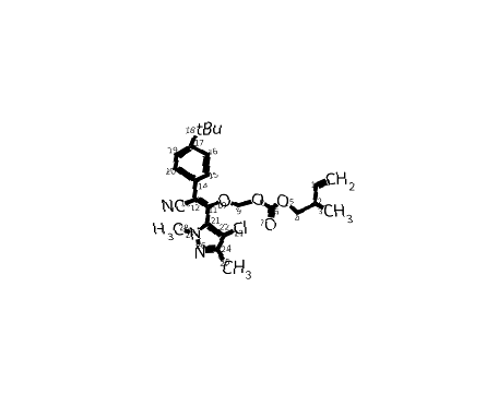 C=CC(C)COC(=O)OCO/C(=C(/C#N)c1ccc(C(C)(C)C)cc1)c1c(Cl)c(C)nn1C